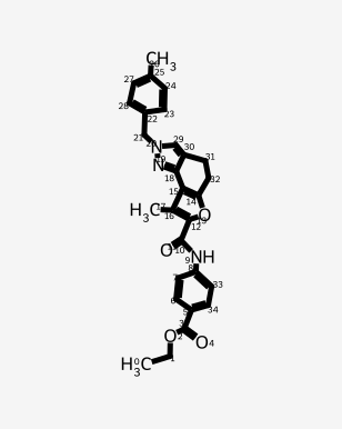 CCOC(=O)c1ccc(NC(=O)c2oc3c(c2C)-c2nn(Cc4ccc(C)cc4)cc2CC3)cc1